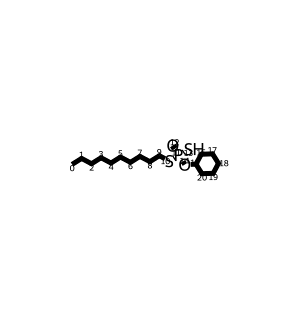 CCCCCCCCCCSP(=O)(S)OC1CCCCC1